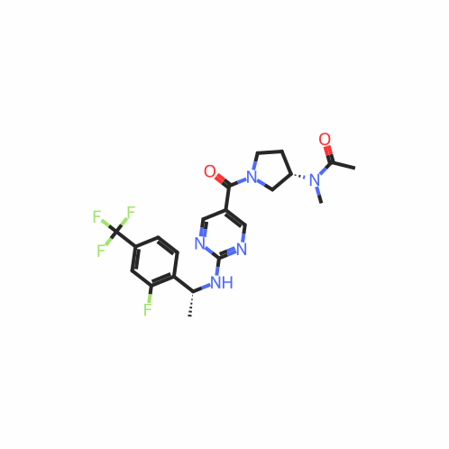 CC(=O)N(C)[C@H]1CCN(C(=O)c2cnc(N[C@H](C)c3ccc(C(F)(F)F)cc3F)nc2)C1